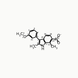 COc1cccc(-c2c(C)[nH]c3c(C)c([N+](=O)[O-])ccc23)c1